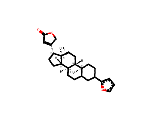 C[C@]12CC[C@H]3[C@@H](CCC4CC(c5ccco5)CC[C@@]43C)[C@@H]1CC[C@@H]2C1=CC(=O)OC1